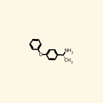 C[C@@H](N)c1ccc(Oc2ccccc2)cc1